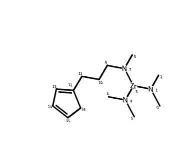 C[N](C)[Zr]([N](C)C)[N](C)CCCC1=CC=CC1